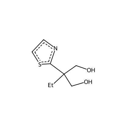 CCC(CO)(CO)c1nccs1